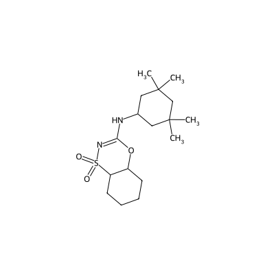 CC1(C)CC(NC2=NS(=O)(=O)C3CCCCC3O2)CC(C)(C)C1